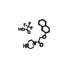 O=C(COc1ccc2ccccc2c1)N1CCNCC1.O=C(O)C(F)(F)F